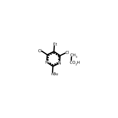 CC(=O)O.CCCCc1nc(Cl)c(CC)c(Cl)n1